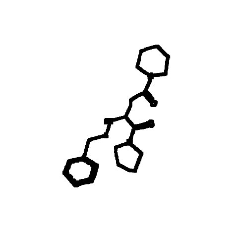 O=C(CC(NSCc1ccccc1)C(=O)N1CCCC1)N1CCCCC1